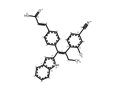 CC/C(=C(/c1ccc(/C=C/C(=O)O)cc1)c1cc2ccccc2[nH]1)c1ccc(C#N)cc1Cl